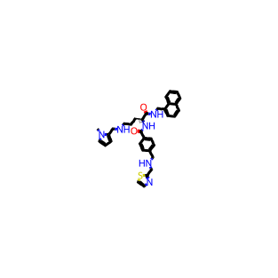 Cn1cccc1CNCCC[C@H](NC(=O)c1ccc(CNCc2nccs2)cc1)C(=O)NCc1cccc2ccccc12